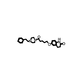 O=C1CCc2cc(OCCCCC(=O)N3CCN(CCc4ccccc4)CC3)ccc2N1